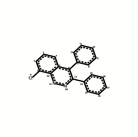 Clc1cccc2c(-c3c[c]ccc3)c(-c3ccccc3)nnc12